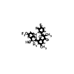 Cc1cc(C(C)Nc2ccc(C(F)(F)F)nc2CO)c2oc(-c3ccc(F)c(F)c3)c(C)c(=O)c2c1